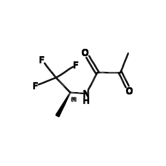 CC(=O)C(=O)N[C@@H](C)C(F)(F)F